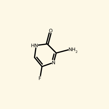 Nc1nc(F)c[nH]c1=O